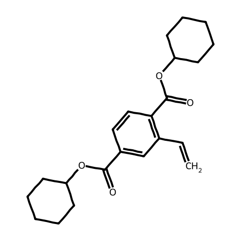 C=Cc1cc(C(=O)OC2CCCCC2)ccc1C(=O)OC1CCCCC1